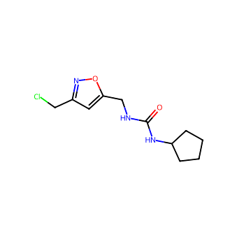 O=C(NCc1cc(CCl)no1)NC1CCCC1